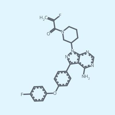 C=C(F)C(=O)N1CCCC(n2nc(-c3ccc(Oc4ccc(F)cc4)cc3)c3c(N)ncnc32)C1